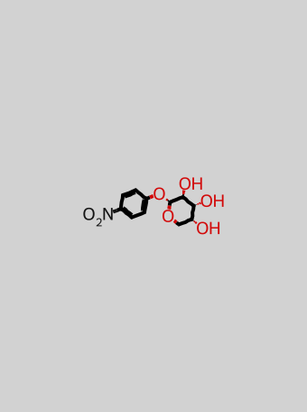 O=[N+]([O-])c1ccc(O[C@H]2OC[C@@H](O)[C@@H](O)[C@@H]2O)cc1